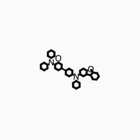 c1ccc(N(c2ccc(-c3ccc4c(c3)Oc3ccccc3N4c3ccccc3)cc2)c2ccc3oc4ccccc4c3c2)cc1